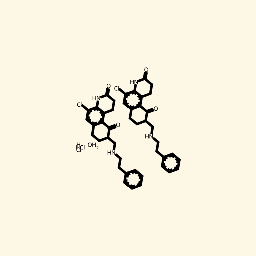 Cl.Cl.O.O=C1CCc2c(c(Cl)cc3c2C(=O)C(CNCCc2ccccc2)CC3)N1.O=C1CCc2c(c(Cl)cc3c2C(=O)C(CNCCc2ccccc2)CC3)N1